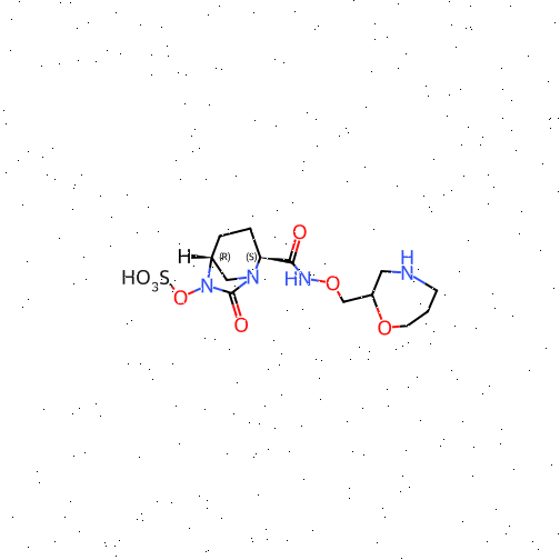 O=C(NOCC1CNCCCO1)[C@@H]1CC[C@@H]2CN1C(=O)N2OS(=O)(=O)O